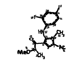 CON(C)C(=O)c1cc(C(C)=O)n(C)c1Nc1ccc(I)cc1F